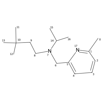 Cc1cccc(CN(CCC(C)(C)C)C(C)C)n1